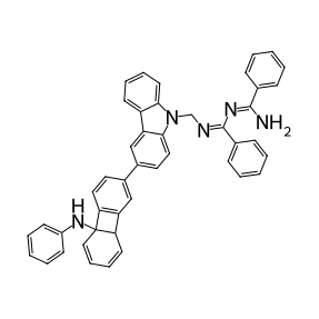 N/C(=N\C(=N/Cn1c2ccccc2c2cc(-c3ccc4c(c3)C3C=CC=CC43Nc3ccccc3)ccc21)c1ccccc1)c1ccccc1